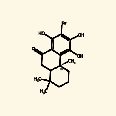 CC(C)c1c(O)c(O)c2c(c1O)C(=O)CC1C(C)(C)CCC[C@]21C